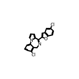 Clc1ccc2oc(C3=NCc4c(Cl)cccc4-n4cccc43)cc2c1